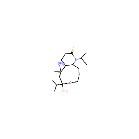 BC1(C(C)C)CCCCC2C(CCC(=S)N2C(C)C)C(C)(N)C1